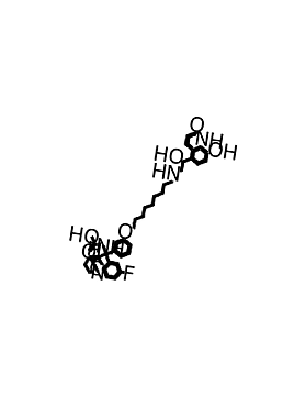 O=C(O)NC(c1cccc(F)c1)(c1cccc(OCCCCCCCCCNC[C@H](O)c2ccc(O)c3[nH]c(=O)ccc23)c1)[C@H]1CN2CCC1CC2